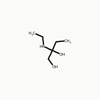 CCNC(O)(CC)CO